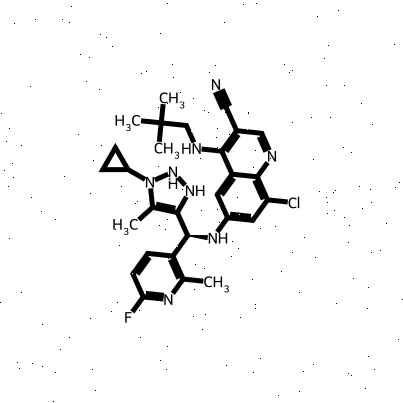 CC1=C([C@@H](Nc2cc(Cl)c3ncc(C#N)c(NCC(C)(C)C)c3c2)c2ccc(F)nc2C)NNN1C1CC1